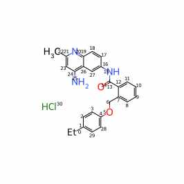 CCc1ccc(OCc2ccccc2C(=O)Nc2ccc3nc(C)cc(N)c3c2)cc1.Cl